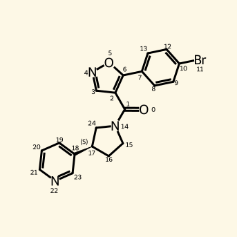 O=C(c1cnoc1-c1ccc(Br)cc1)N1CC[C@@H](c2cccnc2)C1